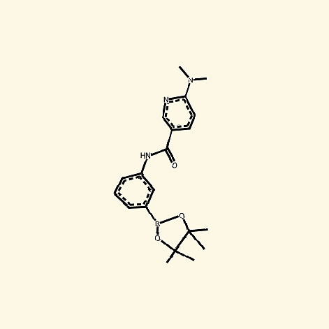 CN(C)c1ccc(C(=O)Nc2cccc(B3OC(C)(C)C(C)(C)O3)c2)cn1